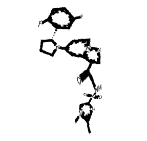 Cc1nc(S(=O)(=O)NC(=O)c2cnn3ccc(N4CCC[C@@H]4c4cc(F)ccc4F)cc23)cn1C